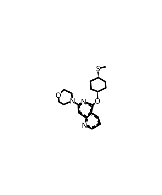 CS[C@H]1CC[C@@H](Oc2nc(N3CCOCC3)cc3ncccc23)CC1